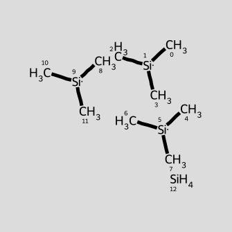 C[Si](C)C.C[Si](C)C.C[Si](C)C.[SiH4]